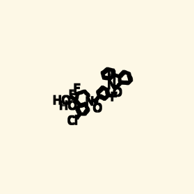 O=C(Nc1ccc(C(=O)N2CCC(F)(F)[C@](O)(CO)c3cc(Cl)ccc32)cc1F)c1ccccc1-c1ccccc1